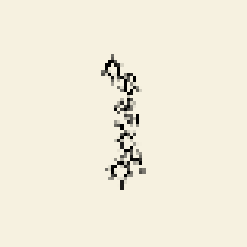 Cc1oc(-c2ccccc2)cc1OC(=O)NCC1CCC(C(c2cccc(F)c2)N(C)C)CC1